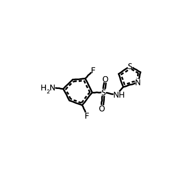 Nc1cc(F)c(S(=O)(=O)Nc2cscn2)c(F)c1